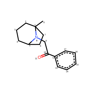 CC12CCCC(CC1)N2CC(=O)c1ccccc1